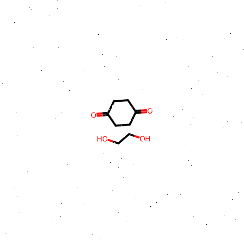 O=C1CCC(=O)CC1.OCCO